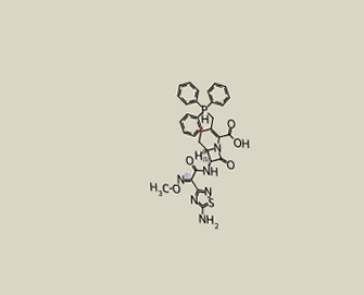 CO/N=C(/C(=O)N[C@@H]1C(=O)N2C(C(=O)O)=C(C[PH](c3ccccc3)(c3ccccc3)c3ccccc3)CC[C@H]12)c1nsc(N)n1